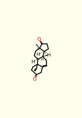 C=CC12CCC(=O)CC1=CC[C@@H]1[C@@H]2CC[C@]2(C)C(=O)CC[C@@H]12